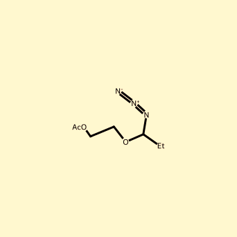 CCC(N=[N+]=[N-])OCCOC(C)=O